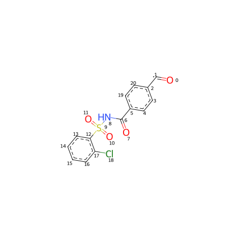 O=[C]c1ccc(C(=O)NS(=O)(=O)c2ccccc2Cl)cc1